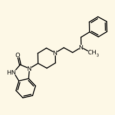 CN(CCN1CCC(n2c(=O)[nH]c3ccccc32)CC1)Cc1ccccc1